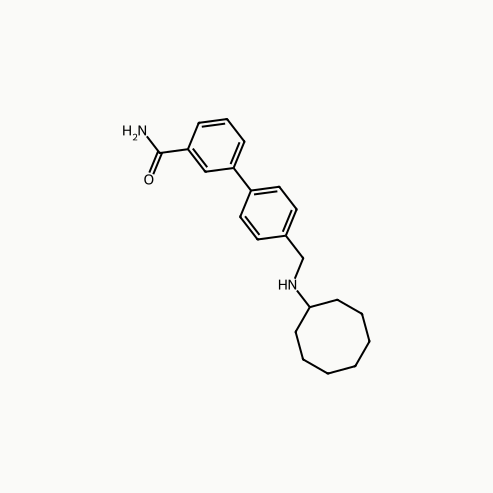 NC(=O)c1cccc(-c2ccc(CNC3CCCCCCC3)cc2)c1